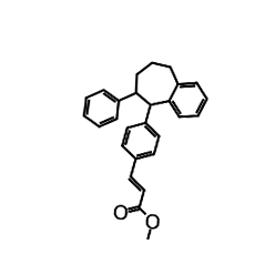 COC(=O)/C=C/c1ccc(C2c3ccccc3CCCC2c2ccccc2)cc1